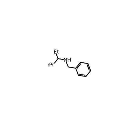 CCC(NCc1ccccc1)C(C)C